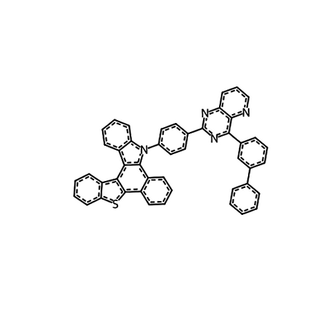 c1ccc(-c2cccc(-c3nc(-c4ccc(-n5c6ccccc6c6c7c8ccccc8sc7c7ccccc7c65)cc4)nc4cccnc34)c2)cc1